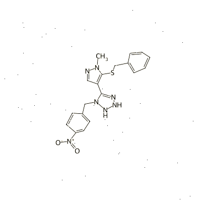 Cn1ncc(C2=NNNN2Cc2ccc([N+](=O)[O-])cc2)c1SCc1ccccc1